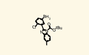 Bc1ccc(Cl)c(-c2nc3cc(C)ccc3n2C(=O)OC(C)(C)C)c1